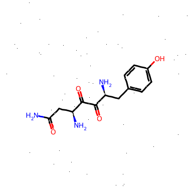 NC(=O)C[C@H](N)C(=O)C(=O)[C@@H](N)Cc1ccc(O)cc1